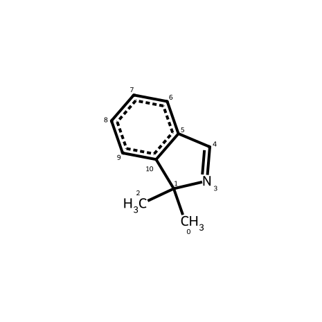 CC1(C)N=Cc2ccccc21